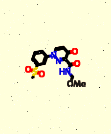 COCNC(=O)c1nn(-c2cccc(S(C)(=O)=O)c2)ccc1=O